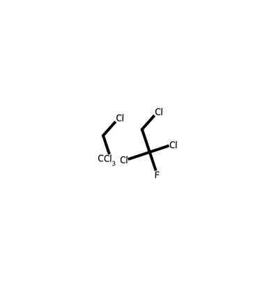 ClCC(Cl)(Cl)Cl.FC(Cl)(Cl)CCl